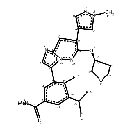 CNC(=O)c1cc(-c2cnc3cc(-c4cnn(C)c4)c(O[C@H]4CCOC4)nn23)c(F)c(C(F)F)c1